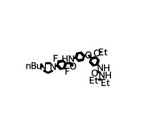 CCCCN1CCCN(c2cc(F)c(C(=O)Nc3ccc(Oc4ccc(NC(=O)NC(CC)CC)cc4OCC)cc3)cc2F)CC1